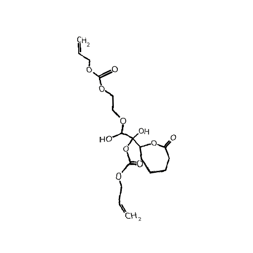 C=CCOC(=O)OCCOC(O)C(O)(OC(=O)OCC=C)C1CCCCC(=O)O1